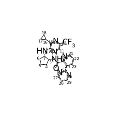 O=C(NC1CCC[C@@H]1Nc1ncc(C(F)(F)F)nc1C1CC1)c1ncccc1-c1ncccn1